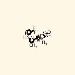 Cc1cc(Nc2cc(C(F)F)ccn2)nc(-c2cn(C[C@H]3OC(=O)N[C@H]3C)nn2)c1